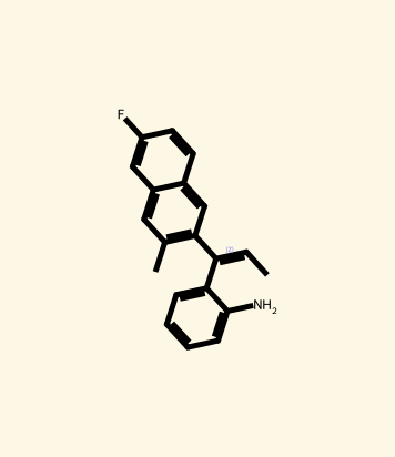 C/C=C(/c1cc2ccc(F)cc2cc1C)c1ccccc1N